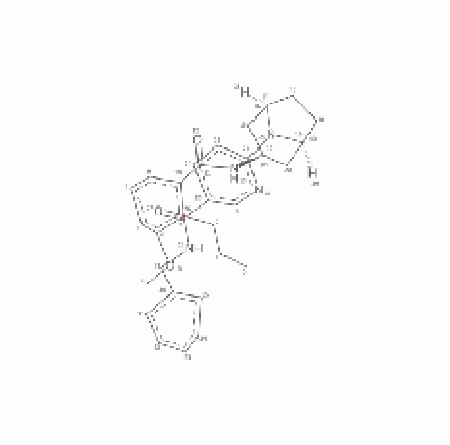 CCCc1c(OC)cccc1C(=O)N[C@H]1C[C@H]2CC[C@@H](C1)N2c1ccc(C(=O)NCc2ccccc2)cn1